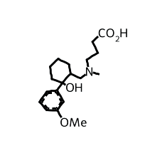 COc1cccc(C2(O)CCCCC2CN(C)CCCC(=O)O)c1